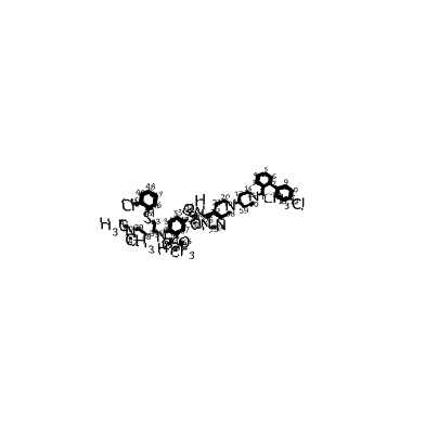 CC(c1ccccc1-c1ccc(Cl)cc1)N1CCC(N2CCc3c(ncnc3NS(=O)(=O)c3ccc(N[C@H](CCN(C)C)CSc4ccccc4Cl)c(S(=O)(=O)C(F)(F)F)c3)C2)CC1